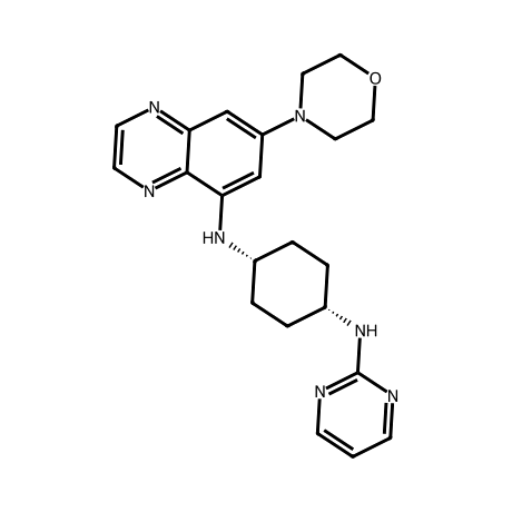 c1cnc(N[C@H]2CC[C@@H](Nc3cc(N4CCOCC4)cc4nccnc34)CC2)nc1